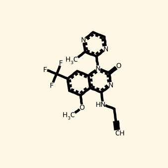 C#CCNc1nc(=O)n(-c2nccnc2C)c2cc(C(F)(F)F)cc(OC)c12